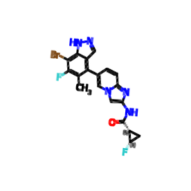 Cc1c(F)c(Br)c2[nH]ncc2c1-c1ccc2nc(NC(=O)[C@@H]3C[C@@H]3F)cn2c1